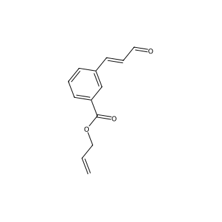 C=CCOC(=O)c1cccc(/C=C/C=O)c1